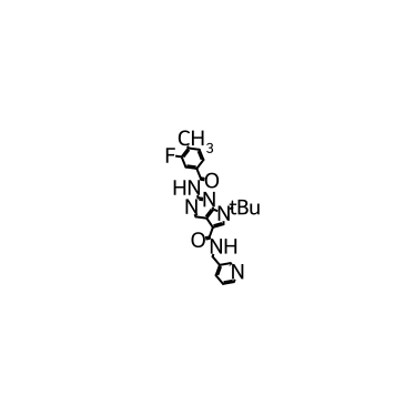 Cc1ccc(C(=O)Nc2ncc3c(C(=O)NCc4cccnc4)cn(C(C)(C)C)c3n2)cc1F